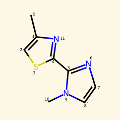 Cc1csc(-c2nc[c]n2C)n1